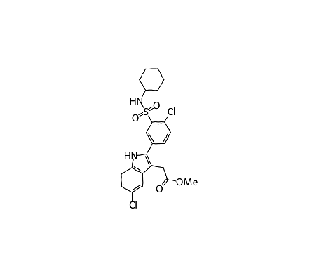 COC(=O)Cc1c(-c2ccc(Cl)c(S(=O)(=O)NC3CCCCC3)c2)[nH]c2ccc(Cl)cc12